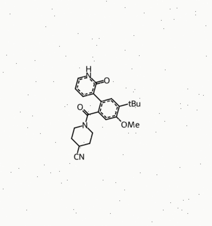 COc1cc(C(=O)N2CCC(C#N)CC2)c(-c2ccc[nH]c2=O)cc1C(C)(C)C